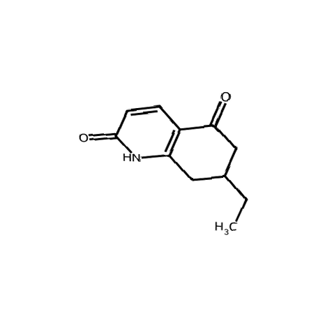 CCC1CC(=O)c2ccc(=O)[nH]c2C1